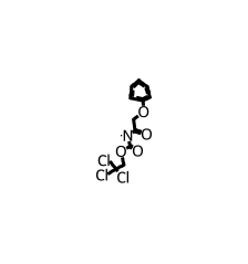 O=C(COc1ccccc1)[N]C(=O)OCC(Cl)(Cl)Cl